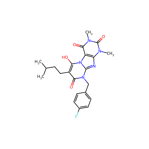 CC(C)CCc1c(O)n2c3c(=O)n(C)c(=O)n(C)c3nc2n(Cc2ccc(F)cc2)c1=O